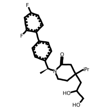 CC(C)C1(CC(O)CO)CCN([C@@H](C)c2ccc(-c3ccc(F)cc3F)cc2)C(=O)C1